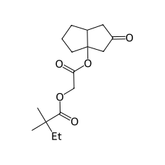 CCC(C)(C)C(=O)OCC(=O)OC12CCCC1CC(=O)C2